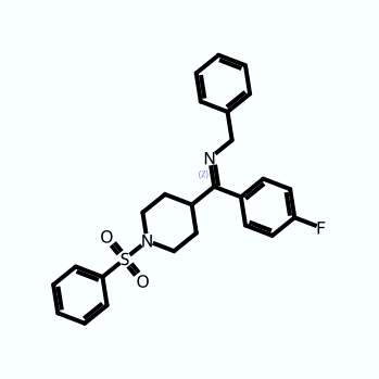 O=S(=O)(c1ccccc1)N1CCC(/C(=N/Cc2ccccc2)c2ccc(F)cc2)CC1